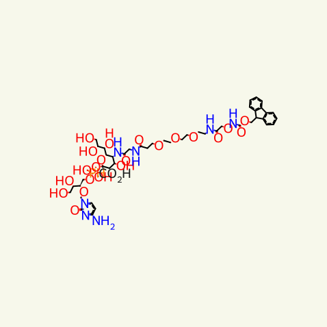 Nc1ccn(CO[C@H](CO[PH](O)(O)O[C@@]2(C(=O)O)CC(O)[C@@H](NC(=O)CNC(=O)CCOCCOCCOCCNC(=O)CONC(=O)OCC3c4ccccc4-c4ccccc43)C([C@H](O)[C@H](O)CO)O2)C(O)CO)c(=O)n1